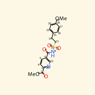 COC(=O)c1ccc(C(=O)NS(=O)(=O)CCc2ccc(OC)cc2)cn1